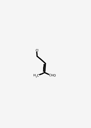 C/C(C=O)=C\CCl